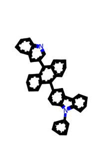 c1ccc(-n2c3ccccc3c3cc(-c4c5ccccc5c(-c5cnc6ccccc6c5)c5ccccc45)ccc32)cc1